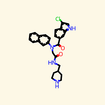 O=C(CN(C(=O)c1ccc2c(Cl)c[nH]c2c1)c1ccc2ccccc2c1)NCC1CCNCC1